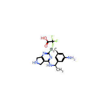 C[C@@H](Nc1nc(Cl)nc2c1CNC2)c1cc(N)cc(C(F)(F)F)c1.O=C(O)C(F)(F)F